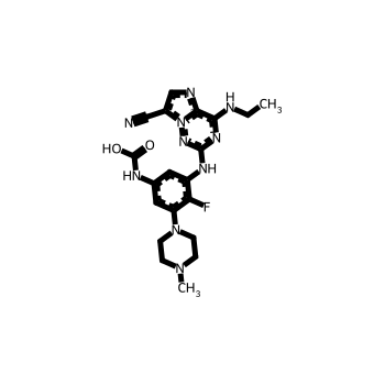 CCNc1nc(Nc2cc(NC(=O)O)cc(N3CCN(C)CC3)c2F)nn2c(C#N)cnc12